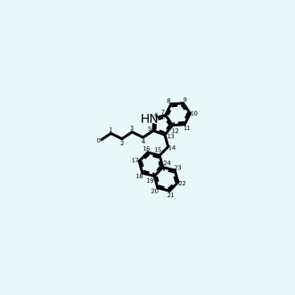 CCCCCc1[nH]c2ccccc2c1Cc1cccc2ccccc12